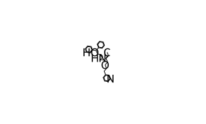 O=C(O)C=C(COCCc1cccnc1)NCCC(c1ccccc1)c1ccccc1